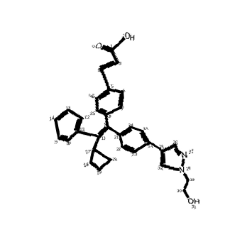 O=C(O)/C=C/c1ccc(/C(=C(\c2ccccc2)C2CCC2)c2ccc(-c3cnn(CCO)c3)cc2)cc1